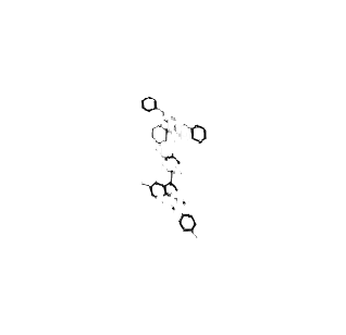 Cc1ccc(S(=O)(=O)n2cc(-c3ncc(F)c(N[C@H]4CCC[C@@](O)(P(=O)(OCc5ccccc5)OCc5ccccc5)C4)n3)c3cc(Cl)cnc32)cc1